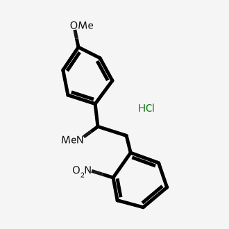 CNC(Cc1ccccc1[N+](=O)[O-])c1ccc(OC)cc1.Cl